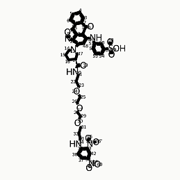 O=C1c2ccccc2-c2onc3c(N4CCC[C@H](C(=O)NCCCOCCOCCOCCCNc5ccc([N+](=O)[O-])cc5[N+](=O)[O-])C4)cc(Nc4cccc(S(=O)(=O)O)c4)c1c23